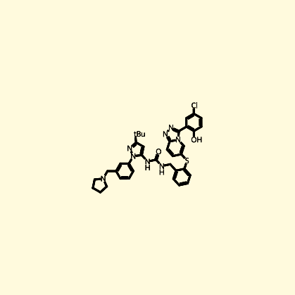 CC(C)(C)c1cc(NC(=O)NCc2ccccc2Sc2ccc3nnc(-c4cc(Cl)ccc4O)n3c2)n(-c2cccc(CN3CCCC3)c2)n1